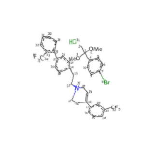 COC(C)(OC)c1ccc(Br)cc1.Cl.FC(F)(F)c1cccc(C2=CCN(CCc3ccc(-c4ccccc4C(F)(F)F)cc3)CC2)c1